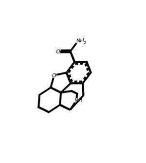 NC(=O)c1ccc2c3c1OC1CCCC4C(C2)NCCC314